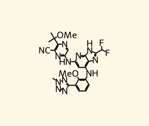 COc1c(Nc2cc(Nc3cnc(C(C)(C)OC)c(C#N)n3)nc3[nH]c(C(F)F)nc23)cccc1-c1nnn(C)n1